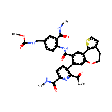 CCCNC(=O)c1ccc(-c2cc3c(cc2C(=O)Nc2ccc(CNC(=O)OC(C)(C)C)cc2C(=O)NCCC)-c2sccc2CCO3)c(C(=O)OC)n1